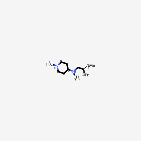 CN[C@@H](CN(C)C1CCN(C)CC1)C(C)C